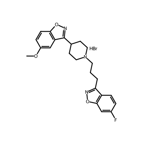 Br.COc1ccc2onc(C3CCN(CCCc4noc5cc(F)ccc45)CC3)c2c1